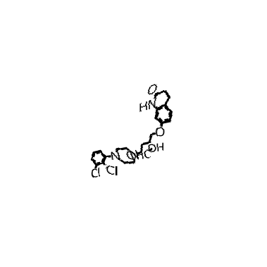 O=C1CCc2ccc(OCCCCN3CCN(c4cccc(Cl)c4Cl)CC3)cc2N1.O=CO